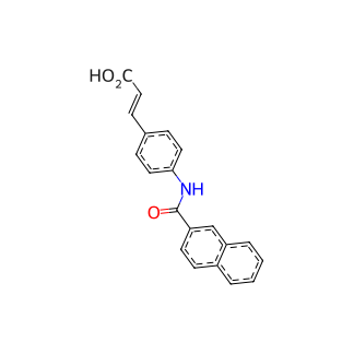 O=C(O)C=Cc1ccc(NC(=O)c2ccc3ccccc3c2)cc1